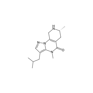 CC(C)Cc1cnn2c3c(c(=O)n(C)c12)C[C@@H](C)NC3